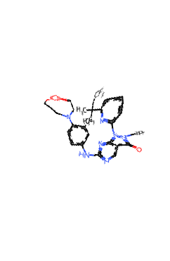 Cc1cc(Nc2ncc3c(=O)n(C(C)C)n(-c4cccc(C(C)(C)C(F)(F)F)n4)c3n2)ccc1N1CCOCC1